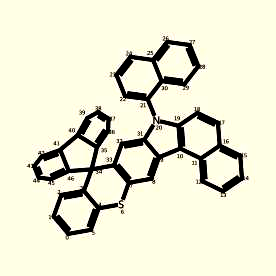 c1ccc2c(c1)Sc1cc3c4c5ccccc5ccc4n(-c4cccc5ccccc45)c3cc1C21c2ccccc2-c2ccccc21